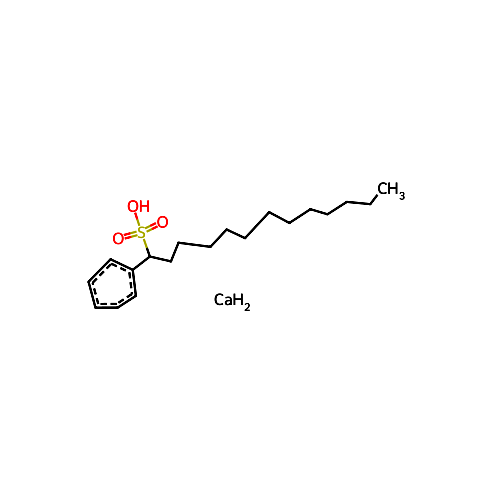 CCCCCCCCCCCCC(c1ccccc1)S(=O)(=O)O.[CaH2]